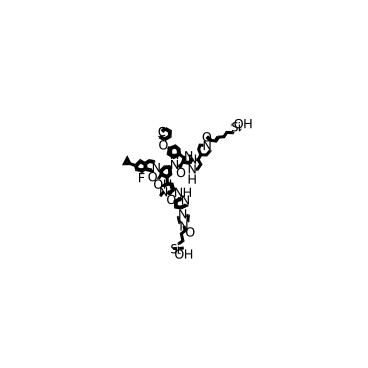 Cn1cc(-c2cc(NC(=O)c3c(-c4ccc(Oc5ccccc5)cc4)nn4c3NCCC4C3CCN(C(=O)/C=C/CCC[Si](C)(C)O)CC3)cc(-n3ccc4cc(C5CC5)cc(F)c4c3=O)c2CO)cc(Nc2ccc(N3CCN(C(=O)CCC[Si](C)(C)O)CC3)cn2)c1=O